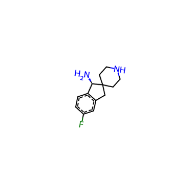 N[C@@H]1c2ccc(F)cc2CC12CCNCC2